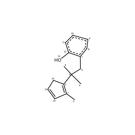 CC1=C(C(C)(C)Cc2ccccc2O)CC=C1